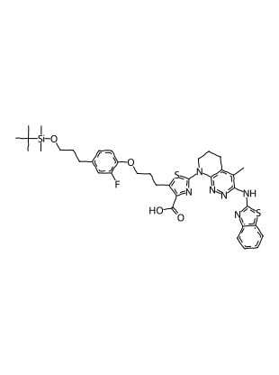 Cc1c(Nc2nc3ccccc3s2)nnc2c1CCCN2c1nc(C(=O)O)c(CCCOc2ccc(CCCO[Si](C)(C)C(C)(C)C)cc2F)s1